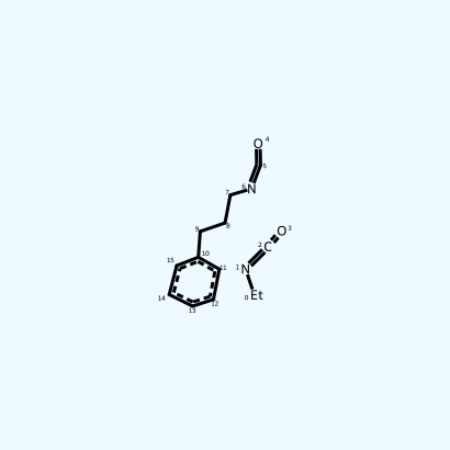 CCN=C=O.O=C=NCCCc1ccccc1